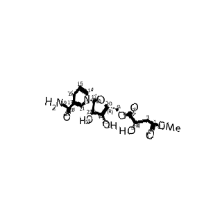 COC(=O)C[C@H](O)C(=O)OC[C@H]1O[C@@H](N2C=CCC(C(N)=O)=C2)[C@H](O)[C@@H]1O